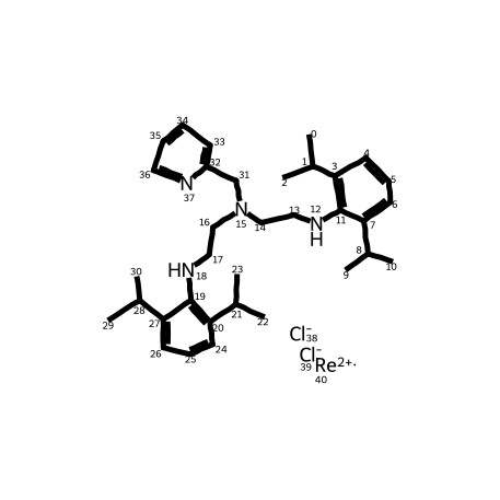 CC(C)c1cccc(C(C)C)c1NCCN(CCNc1c(C(C)C)cccc1C(C)C)Cc1ccccn1.[Cl-].[Cl-].[Re+2]